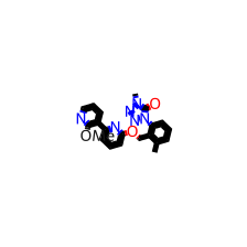 COc1ncccc1-c1cccc(OCc2c(C)cccc2-n2nnn(C)c2=O)n1